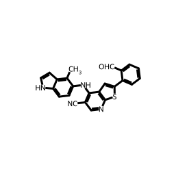 Cc1c(Nc2c(C#N)cnc3sc(-c4ccccc4C=O)cc23)ccc2[nH]ccc12